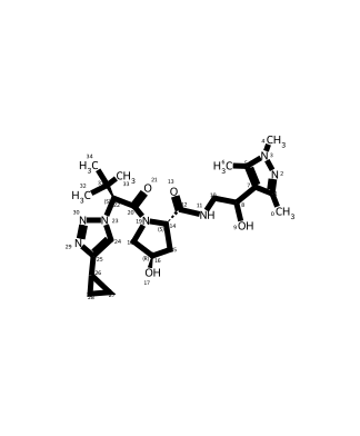 Cc1nn(C)c(C)c1C(O)CNC(=O)[C@@H]1C[C@@H](O)CN1C(=O)[C@@H](n1cc(C2CC2)nn1)C(C)(C)C